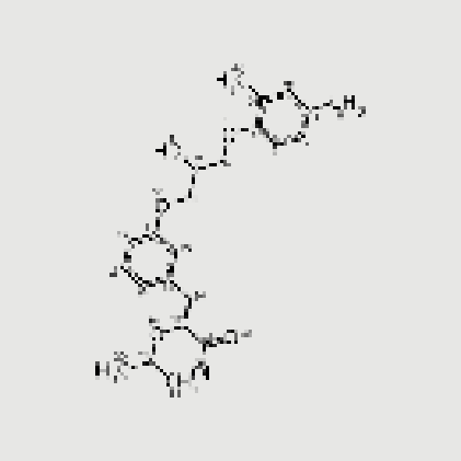 Cc1ccc(OC[C@H](O)COc2cccc(C[C@H](OC(C)C)C(=O)O)c2)c(C)c1